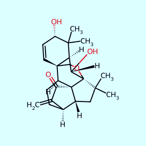 C=C1C(=O)[C@@]23[C@@H]4CC(C)(C)[C@]25OC[C@]2(C=C[C@H](O)C(C)(C)[C@H]2[C@@H]5O)[C@@H]3CC[C@@H]14